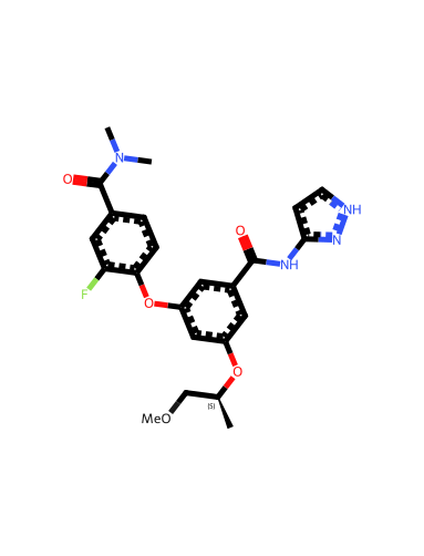 COC[C@H](C)Oc1cc(Oc2ccc(C(=O)N(C)C)cc2F)cc(C(=O)Nc2cc[nH]n2)c1